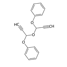 C#CC(Oc1ccccc1)OC(C#C)Oc1ccccc1